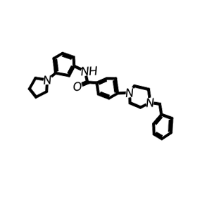 O=C(Nc1cccc(N2CCCC2)c1)c1ccc(N2CCN(Cc3ccccc3)CC2)cc1